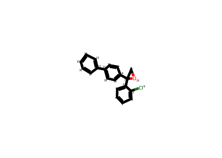 Clc1ccccc1C1(c2ccc(-c3ccccc3)cc2)CO1